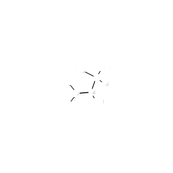 [SiH3][SiH]([SiH3])[SiH]([SiH3])[Si]([SiH3])([SiH3])[SiH3]